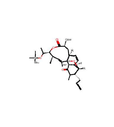 C=CC[C@@H]1C(C)C(=O)[C@@H]2[C@H]3C=C[C@@H]4C[C@H](OC)C(=O)O[C@H](C(C)O[Si](C)(C)C(C)(C)C)[C@H](C)/C=C(\C)[C@]42O[C@H]31